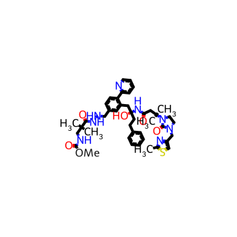 COC(=O)NCC(C)(C)C(=O)NNCc1ccc(-c2ccccn2)c(CC(O)(CCc2ccccc2)NC(=O)CC(C)(C)N2CCN(Cc3csc(C)n3)C2=O)c1